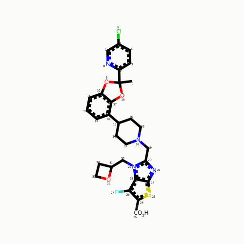 CC1(c2ccc(Cl)cn2)Oc2cccc(C3CCN(Cc4nc5sc(C(=O)O)c(F)c5n4CC4CCO4)CC3)c2O1